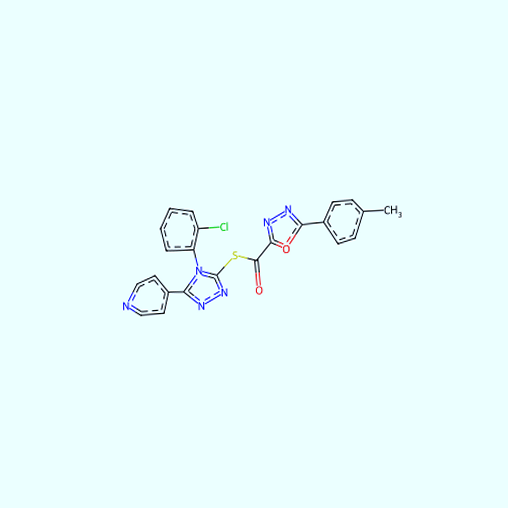 Cc1ccc(-c2nnc(C(=O)Sc3nnc(-c4ccncc4)n3-c3ccccc3Cl)o2)cc1